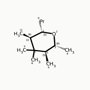 CC(C)[C@@H]1O[C@H](C)[C@@H](C)C(C)(C)[C@H]1C